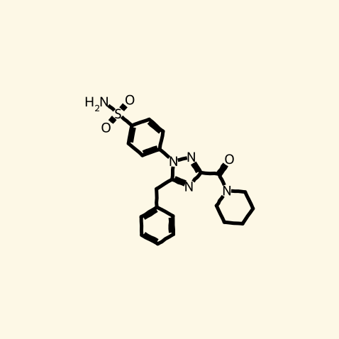 NS(=O)(=O)c1ccc(-n2nc(C(=O)N3CCCCC3)nc2Cc2ccccc2)cc1